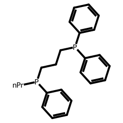 CCCP(CCCP(c1ccccc1)c1ccccc1)c1ccccc1